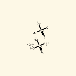 O=P(O)(O)O.O=P([O-])([O-])[O-].[Cr+3]